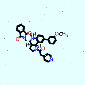 COc1cccc(-c2ccc3c(c2)[C@H]2[C@H](CCN2C(=O)Cc2ccncc2)[C@H](CN2C(=O)c4ccccc4C2=O)N3C)c1